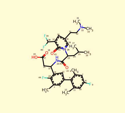 Cc1cc(-c2c(C)cc(F)cc2C)cc(C(CC(=O)O)NC(=O)C(CC(C)C)n2cc(CCN(C)C)cc(C(F)F)c2=O)c1F